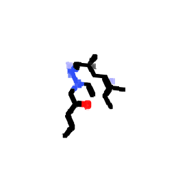 C=CN(CC(=O)CCC)/N=C\[C@@H](C)C/C=C(/C)CC